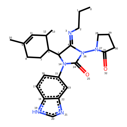 CCCN=C1C(C2CCC(C)=CC2C)N(c2ccc3[nH]cnc3c2)C(=O)N1N1CCCC1=O